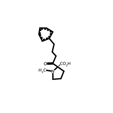 CN1CCC[C@]1(C(=O)O)C(=O)CCCc1ccccc1